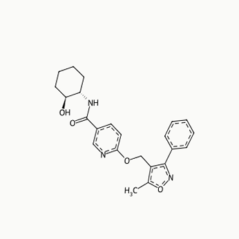 Cc1onc(-c2ccccc2)c1COc1ccc(C(=O)N[C@H]2CCCC[C@@H]2O)cn1